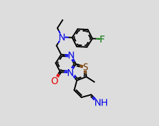 CCN(Cc1cc(=O)n2c(/C=C\C=N)c(C)sc2n1)c1ccc(F)cc1